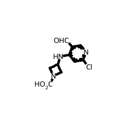 O=Cc1cnc(Cl)cc1NC1CN(C(=O)O)C1